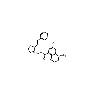 CN1CCOc2c(C(=O)NC[C@@H]3CCCN3CCc3ccccc3)cc(Cl)cc21